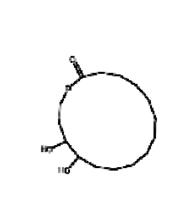 O=C1CCCCCCCCCCC(O)C(O)CCO1